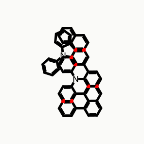 c1ccc(-c2cccc3cccc(-c4ccccc4N(c4cccc(-c5cccc6ccccc56)c4)c4ccccc4-c4ccc5c6ccccc6n(-c6ccccc6)c5c4)c23)cc1